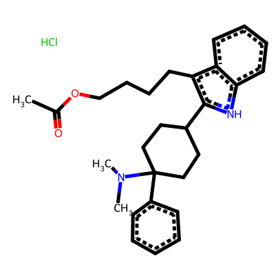 CC(=O)OCCCCc1c(C2CCC(c3ccccc3)(N(C)C)CC2)[nH]c2ccccc12.Cl